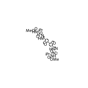 COC(=O)N[C@H](C(=O)N1CCC[C@H]1c1ncc(-c2ccc(-c3ccc(-c4cnc([C@@H]5CCCN5C(=O)[C@@H](NC(=O)OC)C(C)C)[nH]4)c4occc34)c3occc23)[nH]1)C(C)C